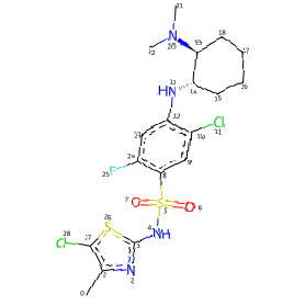 Cc1nc(NS(=O)(=O)c2cc(Cl)c(N[C@H]3CCCC[C@@H]3N(C)C)cc2F)sc1Cl